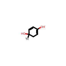 [2H]C1(O)C=CC(O)=CC1